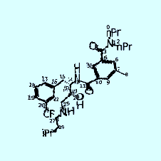 CCCN(CCC)C(=O)c1cc(C)cc(C(=O)N[C@@H](Cc2cccc(C(F)(F)F)c2)[C@H](O)CNCCC(C)C)c1